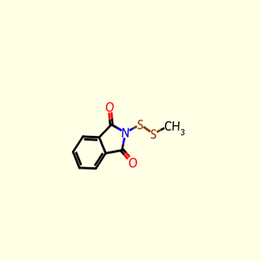 CSSN1C(=O)c2ccccc2C1=O